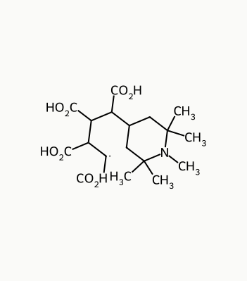 CN1C(C)(C)CC(C(C(=O)O)C(C(=O)O)C([CH]C(=O)O)C(=O)O)CC1(C)C